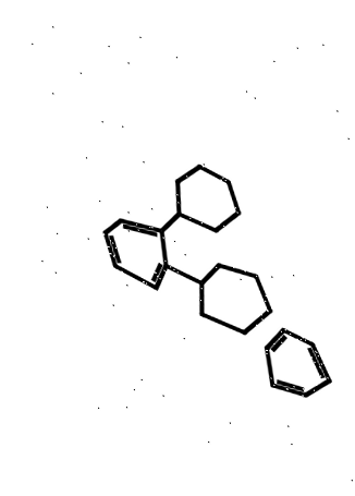 c1ccc(C2CCCCC2)c(C2CCCCC2)c1.c1ccccc1